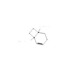 O=C(O)C12C=CCCC1(C(=O)O)CC2